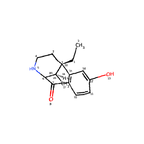 CC[C@@]12CCNC(C(=O)c3ccc(O)cc31)[C@@H]2C